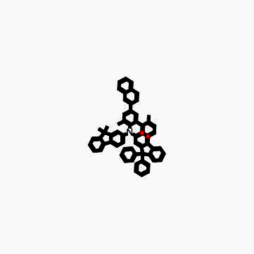 Cc1ccccc1-c1cc(-c2ccc3ccccc3c2)cc(C)c1N(c1ccc2c(c1)C(C)(C)c1ccccc1-2)c1ccc2c(c1)C(c1ccccc1)(c1ccccc1)c1ccccc1-2